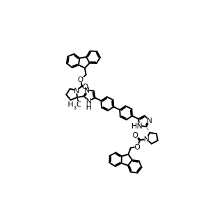 C[C@@]1(c2ncc(-c3ccc(-c4ccc(-c5cnc([C@@H]6CCCN6C(=O)OCC6c7ccccc7-c7ccccc76)[nH]5)cc4)cc3)[nH]2)CCCN1C(=O)OCC1c2ccccc2-c2ccccc21